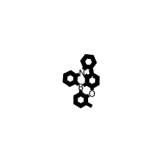 Cc1cccc2c1Oc1ccc3c4ccccc4n4c3c1B2c1ccccc1-4